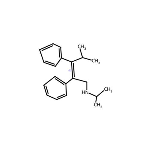 CC(C)NC/C(=C(/c1ccccc1)C(C)C)c1ccccc1